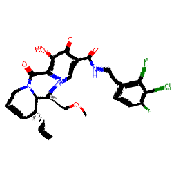 C#C[C@@H]1C=CCN2C(=O)c3c(O)c(=O)c(C(=O)NCc4ccc(F)c(Cl)c4F)cn3[C@@H](COC)C12